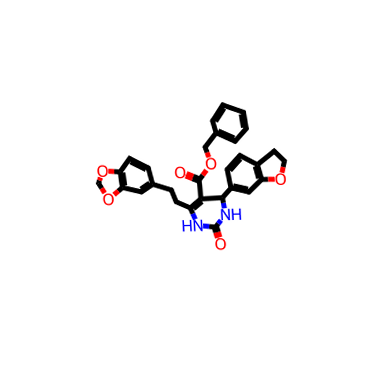 O=C1NC(CCc2ccc3c(c2)OCO3)=C(C(=O)OCc2ccccc2)C(c2ccc3c(c2)OCC3)N1